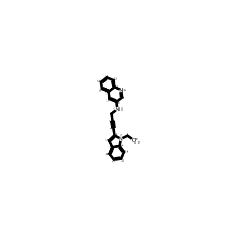 FC(F)(F)Cn1c(C#CCNc2cnc3ccccc3c2)cc2ccccc21